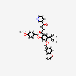 COc1ccc(COc2cc(OCc3ccc(OC)cc3)c(C(C)C)cc2C(=O)CCC(=O)c2cccnc2)cc1